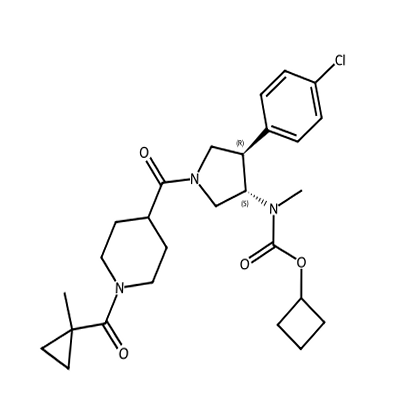 CN(C(=O)OC1CCC1)[C@@H]1CN(C(=O)C2CCN(C(=O)C3(C)CC3)CC2)C[C@H]1c1ccc(Cl)cc1